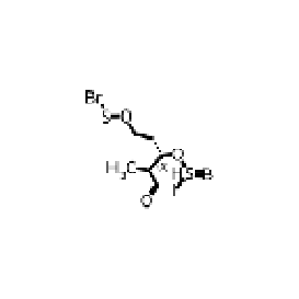 B#[SH](I)O[C@@H](CCOSBr)C(C)C=O